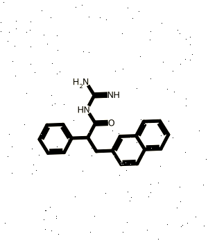 N=C(N)NC(=O)C(Cc1ccc2ccccc2c1)c1ccccc1